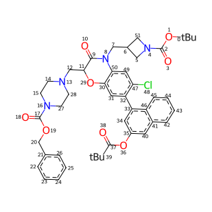 CC(C)(C)OC(=O)N1CC(CN2C(=O)C(CN3CCN(C(=O)OCc4ccccc4)CC3)Oc3cc(-c4cc(OC(=O)C(C)(C)C)cc5ccccc45)c(Cl)cc32)C1